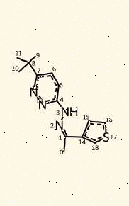 CC(=NNc1ccc(C(C)(C)C)nn1)c1ccsc1